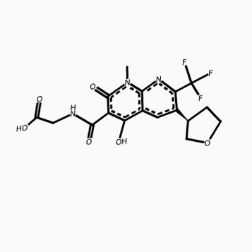 Cn1c(=O)c(C(=O)NCC(=O)O)c(O)c2cc([C@H]3CCOC3)c(C(F)(F)F)nc21